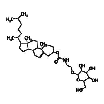 CC(C)CCCC(C)C1CCC2C3CC=C4CC(OC(=O)NCCOC5OC(CO)[C@H](O)C(O)[C@@H]5O)CC[C@]4(C)C3CC[C@]12C